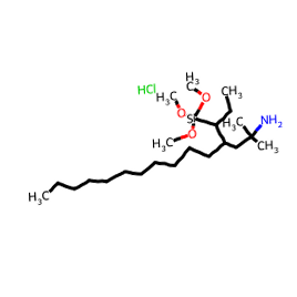 CCCCCCCCCCCC(CC(C)(C)N)C(CC)[Si](OC)(OC)OC.Cl